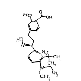 CCN(CC)c1ccc(/C(CCc2ccc(C(=O)O)c(O)c2)=N/O)cc1C(C)(C)C